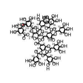 O=C(OC[C@H]1O[C@@H](OC(=O)c2cc(OC(=O)c3cc(O)c(O)c(O)c3)c(OC(=O)c3cc(O)c(O)c(O)c3)c(OC(=O)c3cc(O)c(O)c(O)c3)c2)[C@H](OC(=O)c2cc(O)c(OC(=O)c3cc(O)c(O)c(O)c3)c(OC(=O)c3cc(O)c(O)c(O)c3)c2)[C@@H](OC(=O)c2cc(O)c(O)c(O)c2)[C@@H]1OC(=O)c1cc(O)c(O)c(O)c1)c1cc(O)c(O)c(O)c1